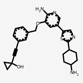 Nc1ncc(-c2cnc(C3CCC(N)CC3)s2)cc1OCc1cccc(C#CC2(O)CC2)c1